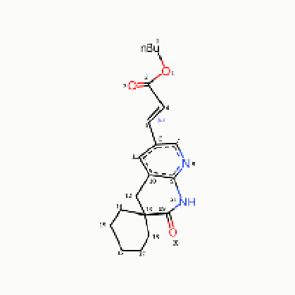 CCCCOC(=O)/C=C/c1cnc2c(c1)CC1(CCCCC1)C(=O)N2